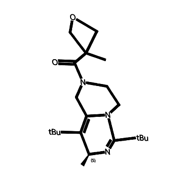 C[C@@H]1N=C(C(C)(C)C)N2CCN(C(=O)C3(C)COC3)CC2=C1C(C)(C)C